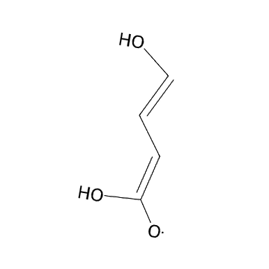 [O]C(O)=CC=CO